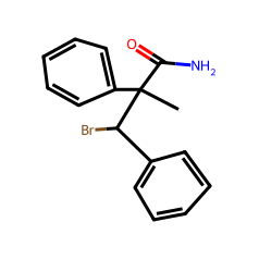 CC(C(N)=O)(c1ccccc1)C(Br)c1ccccc1